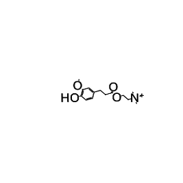 COc1cc(CCC(=O)OCC[N+](C)(C)C)ccc1O